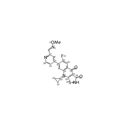 CON=Cc1cc(-c2cc3c(cc2F)c(=O)c2c(=O)[nH]sc2n3C2CC2)ccn1